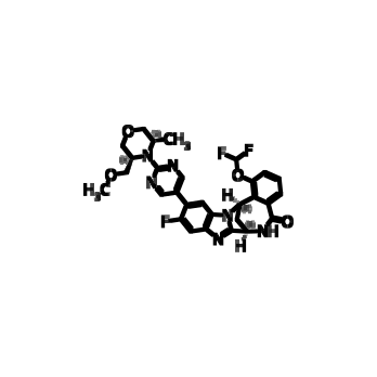 COC[C@H]1COC[C@@H](C)N1c1ncc(-c2cc3c(cc2F)nc2n3[C@@H]3C[C@H]2NC(=O)c2cccc(OC(F)F)c23)cn1